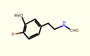 COc1cc(CCNC=O)ccc1Br